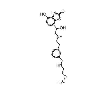 COCCNCc1cccc(CCNCC(O)c2ccc(O)c3[nH]c(=O)sc23)c1